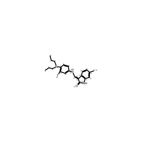 CCCN(CCC)c1ccc(N/C=C2/C(=O)Nc3cc(F)ccc32)cc1F